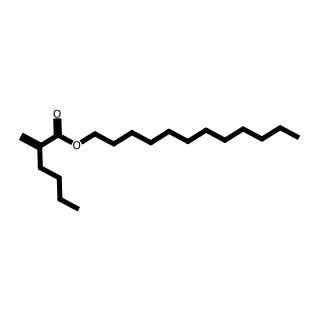 C=C(CCCC)C(=O)OCCCCCCCCCCCC